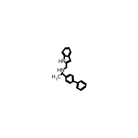 CC(NCc1cc2ccccc2[nH]1)c1ccc(-c2ccccc2)cc1